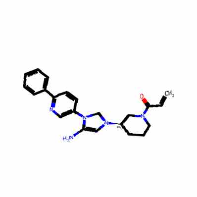 C=CC(=O)N1CCC[C@@H](N2C=C(N)N(c3ccc(-c4ccccc4)nc3)C2)C1